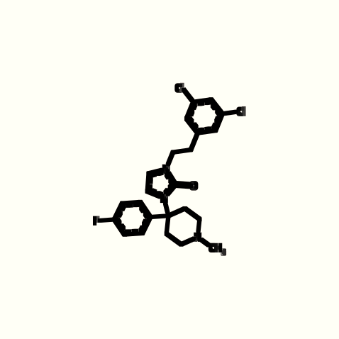 CN1CCC(c2ccc(F)cc2)(n2ccn(CCc3cc(Cl)cc(Cl)c3)c2=O)CC1